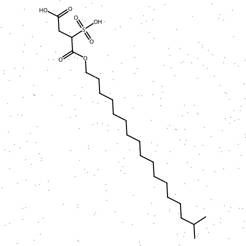 CC(C)CCCCCCCCCCCCCCCOC(=O)C(CC(=O)O)S(=O)(=O)O